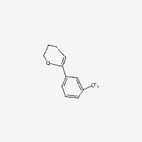 FC(F)(F)c1cccc(C2=CCCCO2)c1